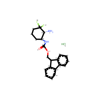 Cl.N[C@@H]1[C@@H](NC(=O)OCC2c3ccccc3-c3ccccc32)CCCC1(F)F